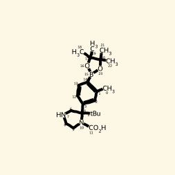 Cc1cc(C2(C(C)(C)C)CNCCN2C(=O)O)ccc1B1OC(C)(C)C(C)(C)O1